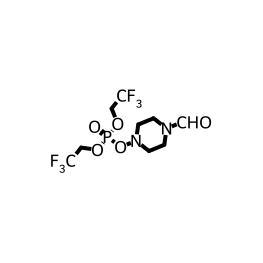 O=CN1CCN(OP(=O)(OCC(F)(F)F)OCC(F)(F)F)CC1